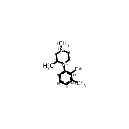 CC1CN(C)CCN1c1cccc(C(F)(F)F)c1F